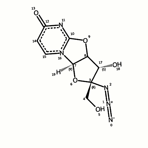 [N-]=[N+]=N[C@]1(CO)O[C@@H]2C(Oc3nc(=O)ccn32)[C@@H]1O